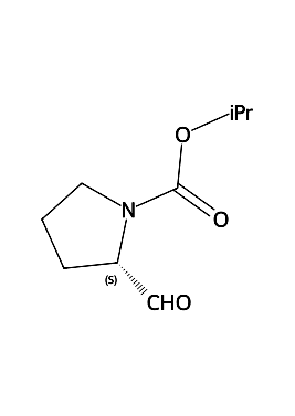 CC(C)OC(=O)N1CCC[C@H]1C=O